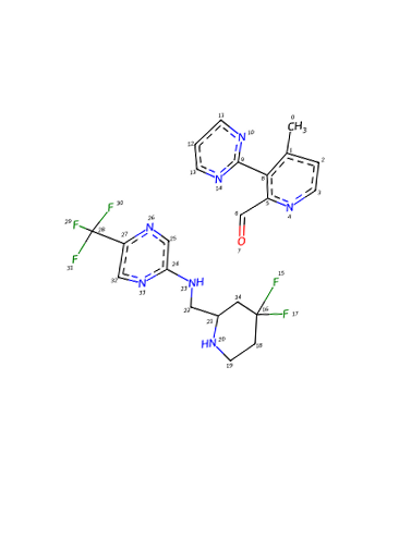 Cc1ccnc(C=O)c1-c1ncccn1.FC1(F)CCNC(CNc2cnc(C(F)(F)F)cn2)C1